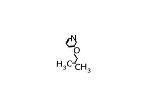 CC(C)CCOc1cccnc1